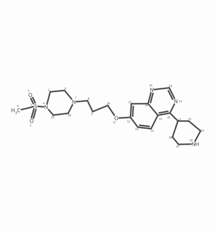 CS(=O)(=O)N1CCN(CCCOc2ccc3c(C4CCNCC4)ncnc3c2)CC1